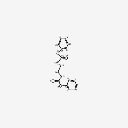 O=C(Oc1ccccc1)SCCSC(=O)Oc1ccccc1